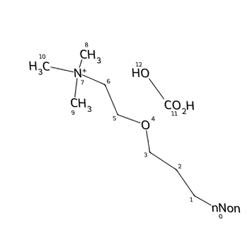 CCCCCCCCCCCCOCC[N+](C)(C)C.O=C(O)O